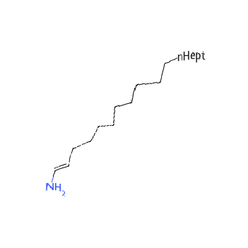 CCCCCCCCCCCCCCCC/C=C/N